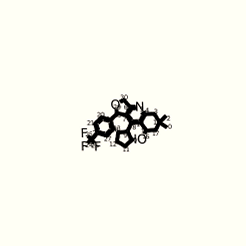 CC1(C)Cc2nc3c(c(C4CCCC4)c2C(O)C1)C(c1ccc(C(F)(F)F)cc1)OC3